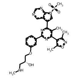 CNC[C@@H](O)COc1cccc(-c2nc(-c3c(C)noc3C)c(C)c(-c3cn(S(C)(=O)=O)c4ncncc34)n2)c1